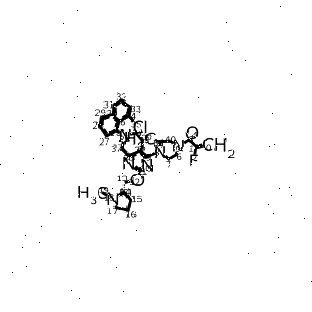 C=C(F)C(=O)N1CCN(c2nc(OC[C@@H]3CCCN3C)nc3c2CCN(c2cccc4cccc(Cl)c24)C3)[C@@H](C)C1